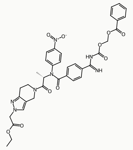 CCOC(=O)Cn1cc2c(n1)CCN(C(=O)[C@H](C)N(C(=O)c1ccc(C(=N)NC(=O)OCOC(=O)c3ccccc3)cc1)c1ccc([N+](=O)[O-])cc1)C2